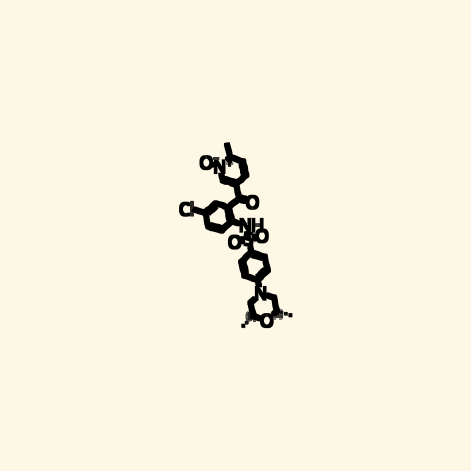 Cc1ccc(C(=O)c2cc(Cl)ccc2NS(=O)(=O)c2ccc(N3C[C@@H](C)O[C@@H](C)C3)cc2)c[n+]1[O-]